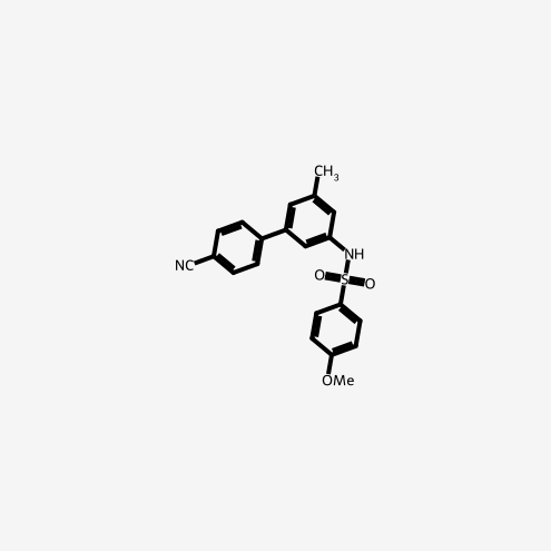 COc1ccc(S(=O)(=O)Nc2cc(C)cc(-c3ccc(C#N)cc3)c2)cc1